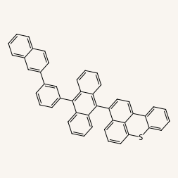 c1cc(-c2ccc3ccccc3c2)cc(-c2c3ccccc3c(-c3ccc4c5c(cccc35)Sc3ccccc3-4)c3ccccc23)c1